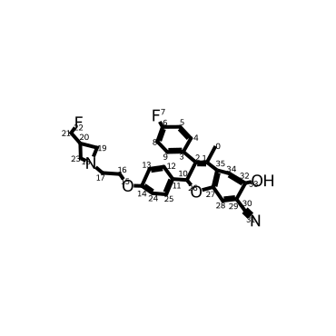 CC1=C(c2ccc(F)cc2)C(c2ccc(OCCN3CC(CF)C3)cc2)Oc2cc(C#N)c(O)cc21